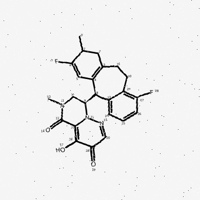 CC1CC2=C(C=C1F)C([C@@H]1CN(C)C(=O)c3c(O)c(=O)cnn31)c1cccc(F)c1CC2